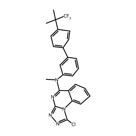 CN(c1cccc(-c2ccc(C(C)(C)C(F)(F)F)cc2)c1)c1nc2nnc(Cl)n2c2ccccc12